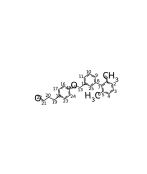 Cc1cccc(C)c1-c1cccc(COc2ccc(CCC=O)cc2)c1